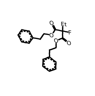 CCC(F)(C(=O)OCCc1ccccc1)C(=O)OCCc1ccccc1